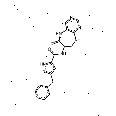 O=C(NC1CNc2ncncc2NC1=O)c1cc(Cc2ccccc2)n[nH]1